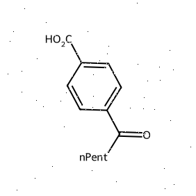 CCCCCC(=O)c1ccc(C(=O)O)cc1